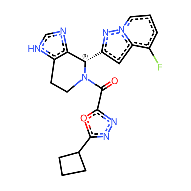 O=C(c1nnc(C2CCC2)o1)N1CCc2[nH]cnc2[C@@H]1c1cc2c(F)cccn2n1